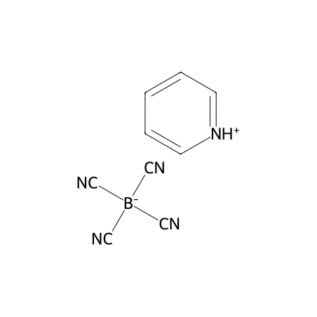 N#C[B-](C#N)(C#N)C#N.c1cc[nH+]cc1